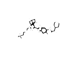 Cc1cc2nc(-c3nn(COCC[Si](C)(C)C)c4c3[C@H]3C[C@@](C)(C4)C3(F)F)[nH]c2cc1N(C)C(=O)[C@H](C)C1CCOCC1